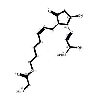 CCCCC[C@H](O)/C=C/[C@H]1[C@H](O)CC(=O)[C@@H]1C/C=C\CCCCOC(=O)COC